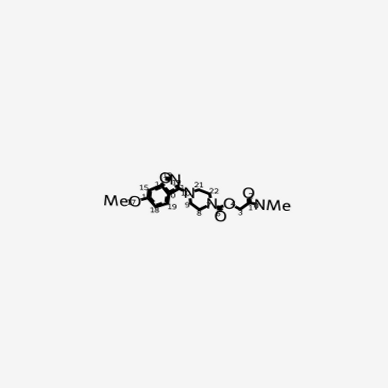 CNC(=O)COC(=O)N1CCN(c2noc3cc(OC)ccc23)CC1